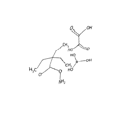 CCC(CC)(CC)C(Cl)ON.O=C(O)C(=O)O.OB(O)O